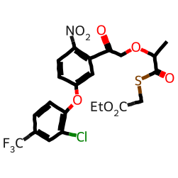 CCOC(=O)CSC(=O)C(C)OCC(=O)c1cc(Oc2ccc(C(F)(F)F)cc2Cl)ccc1[N+](=O)[O-]